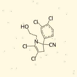 N#CC1(c2ccc(Cl)c(Cl)c2)CC(Cl)=C(Cl)N1CCO